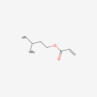 C=CC(=O)OCCC(CCC)CCCC